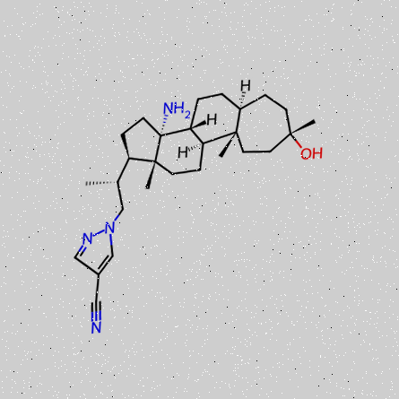 C[C@@H](Cn1cc(C#N)cn1)[C@H]1CC[C@@]2(N)[C@@H]3CC[C@H]4CC[C@](C)(O)CC[C@]4(C)[C@H]3CC[C@]12C